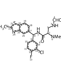 CNC(CNC=O)C(=O)NC(c1ccc(F)c(Cl)c1)c1ccc2sc(C)nc2c1